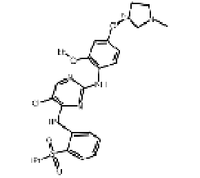 CCOc1cc(O[C@H]2CCN(C)C2)ccc1Nc1ncc(Cl)c(Nc2ccccc2S(=O)(=O)C(C)C)n1